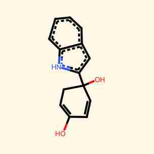 OC1=CCC(O)(c2cc3ccccc3[nH]2)C=C1